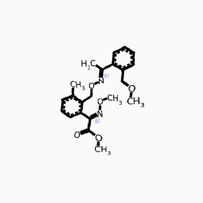 COCc1ccccc1/C(C)=N/OCc1c(C)cccc1/C(=N\OC)C(=O)OC